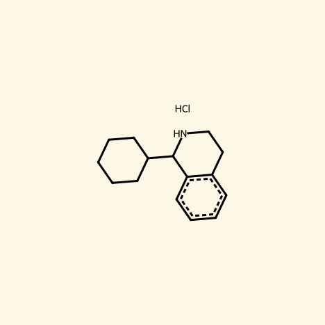 Cl.c1ccc2c(c1)CCNC2C1CCCCC1